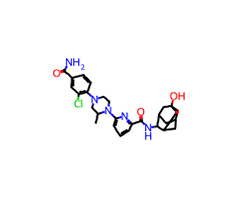 CC1CN(c2ccc(C(N)=O)cc2Cl)CCN1c1cccc(C(=O)NC2C3CC4CC2CC(O)(C4)C3)n1